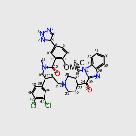 COc1ccc(C2C=NN=N2)cc1C(=O)N(C)CC(CCN1CCC(C(=O)c2nc3ccccc3n2CC(F)(F)F)CC1)c1ccc(Cl)c(Cl)c1